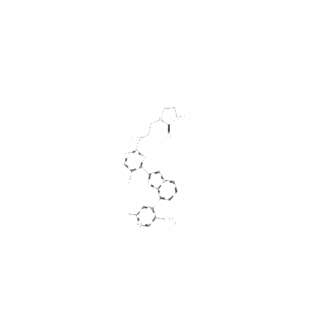 Cc1cnc(F)cc1-c1cccc2cc(-c3nc(NCCN4CCNC4=O)ncc3F)sc12